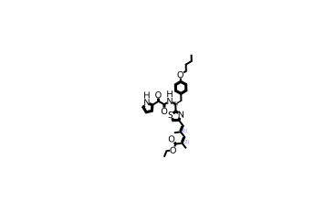 CCCCOc1ccc(C[C@H](NC(=O)C(=O)c2ccc[nH]2)c2nc(/C=C(C)/C=C(/C)C(=O)OCC)cs2)cc1